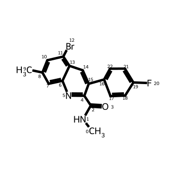 CNC(=O)c1nc2cc(C)cc(Br)c2cc1-c1ccc(F)cc1